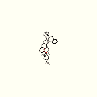 Cc1ccc(CC(CC(=O)N2CCC3CC2(N2CNc4ccccc4C2)O3)C(=O)N2CCC(N3CCN(C)CC3)CC2)cc1C